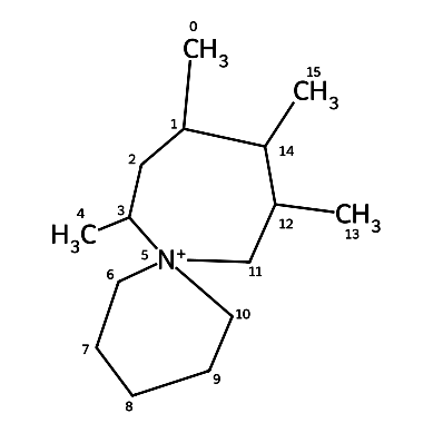 CC1CC(C)[N+]2(CCCCC2)CC(C)C1C